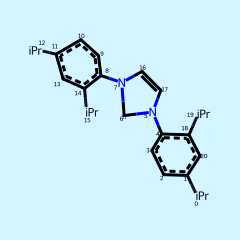 CC(C)c1ccc(N2[C]N(c3ccc(C(C)C)cc3C(C)C)C=C2)c(C(C)C)c1